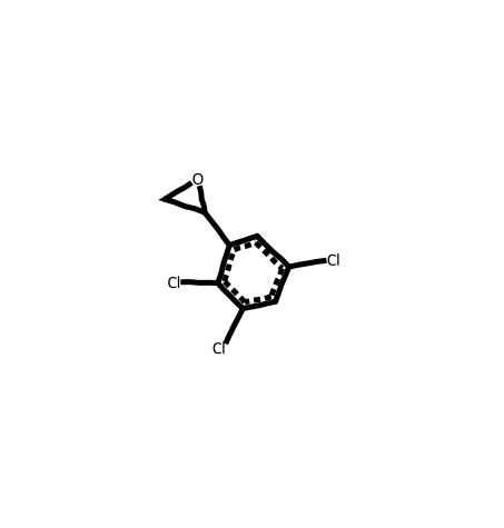 Clc1cc(Cl)c(Cl)c(C2CO2)c1